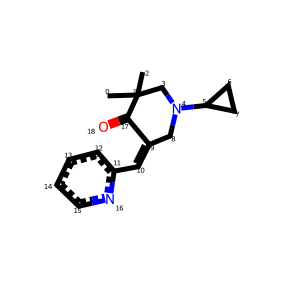 CC1(C)CN(C2CC2)CC(=Cc2ccccn2)C1=O